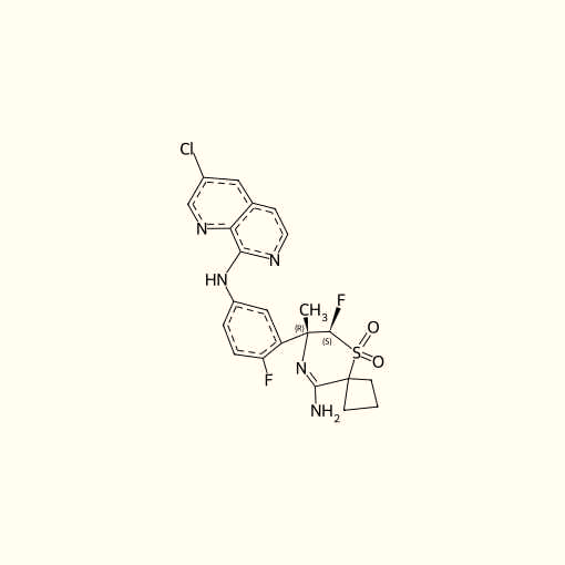 C[C@]1(c2cc(Nc3nccc4cc(Cl)cnc34)ccc2F)N=C(N)C2(CCC2)S(=O)(=O)[C@@H]1F